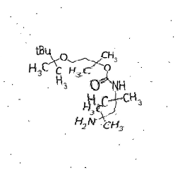 CC(C)(N)CC(C)(C)NC(=O)OC(C)(C)CCOC(C)(C)C(C)(C)C